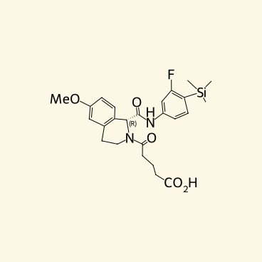 COc1ccc2c(c1)CCN(C(=O)CCCC(=O)O)[C@H]2C(=O)Nc1ccc([Si](C)(C)C)c(F)c1